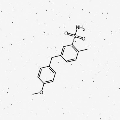 COc1ccc(Cc2ccc(C)c(S(N)(=O)=O)c2)cc1